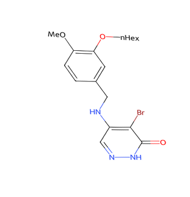 CCCCCCOc1cc(CNc2cn[nH]c(=O)c2Br)ccc1OC